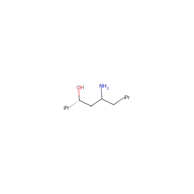 CC(C)CC(N)C[C@@H](O)C(C)C